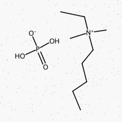 CCCCC[N+](C)(C)CC.O=P([O-])(O)O